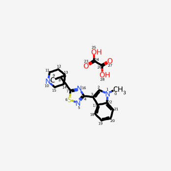 Cn1cc(-c2nsc(C3CN4CCC3CC4)n2)c2ccccc21.O=C(O)C(=O)O